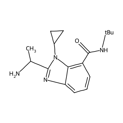 CC(N)c1nc2cccc(C(=O)NC(C)(C)C)c2n1C1CC1